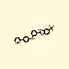 FC(F)(F)c1ccc2nc(-c3cccc(Nc4ccc(-c5cccnn5)cc4)c3)[nH]c2c1